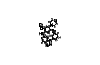 CCOc1cc(N2CCOCC2)ccc1Nc1ncc(Br)c(Nc2cccc(Br)c2)n1